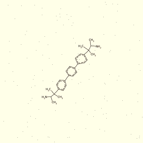 CC(N)C(C)(C)c1ccc(-c2ccc(-c3ccc(C(C)(C)C(C)N)cc3)cc2)cc1